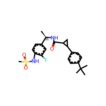 C[C@@H](NC(=O)C1CC1c1ccc(C(C)(C)C)cc1)c1ccc(NS(C)(=O)=O)c(F)c1